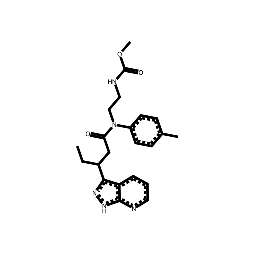 CCC(CC(=O)N(CCNC(=O)OC)c1ccc(C)cc1)c1n[nH]c2ncccc12